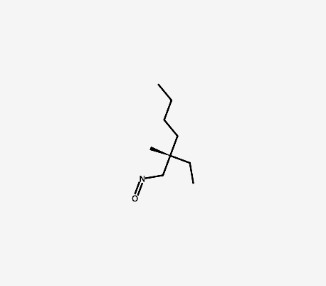 CCCC[C@](C)(CC)CN=O